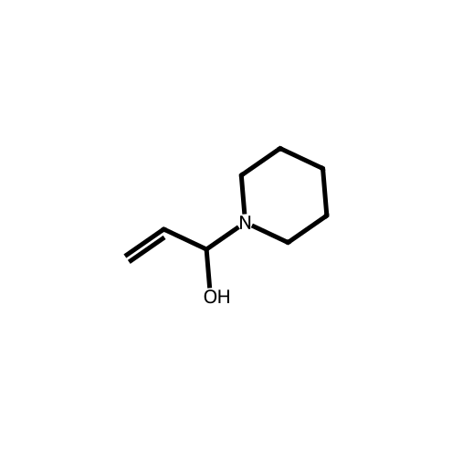 C=CC(O)N1CCCCC1